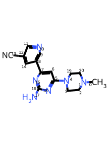 CN1CCN(c2cc(-c3cncc(C#N)c3)nc(N)n2)CC1